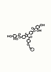 O=C(Oc1ccc(-c2sc3cc(OC(=O)c4ccc(O)cc4O)ccc3c2C(=O)c2ccc(OCCN3CCCCC3)cc2)cc1)c1ccc(O)cc1O